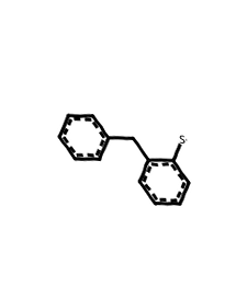 [S]c1ccccc1Cc1ccccc1